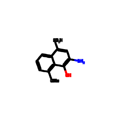 COc1cccc2c(S(=O)(=O)O)cc(N)c(O)c12